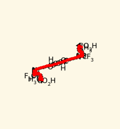 C[C@H](C(=O)O)[C@H](c1ccc2c(c1)O[C@@H](C1CCN(Cc3cc(-c4cn(CCCCCCCCCCCCCCCCCC(=O)NCCOCCOCCOCCOCCNC(=O)CCCCCCCCCCCCCCCCCn5cc(-c6ccc(OC(F)(F)F)cc6CN6CCC([C@H]7CCc8ccc([C@H](C9CC9)[C@H](C)C(=O)O)cc8O7)CC6)nn5)nn4)ccc3OC(F)(F)F)CC1)CC2)C1CC1